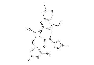 CC[C@@H](NC(=O)N1C(O)[C@H](Cc2cc(C)nc(N)c2)[C@H]1C(=O)N(C)c1cnn(C)c1)c1ccc(C)cc1